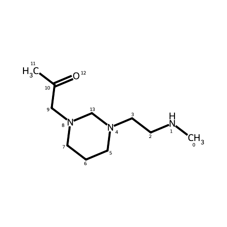 CNCCN1CCCN(CC(C)=O)C1